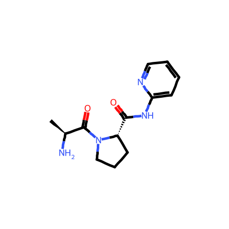 C[C@H](N)C(=O)N1CCC[C@H]1C(=O)Nc1ccccn1